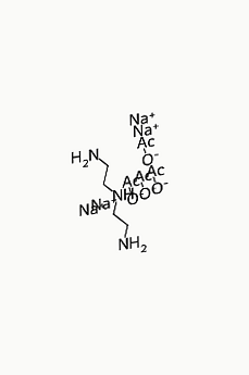 CC(=O)[O-].CC(=O)[O-].CC(=O)[O-].CC(=O)[O-].NCCNCCN.[Na+].[Na+].[Na+].[Na+]